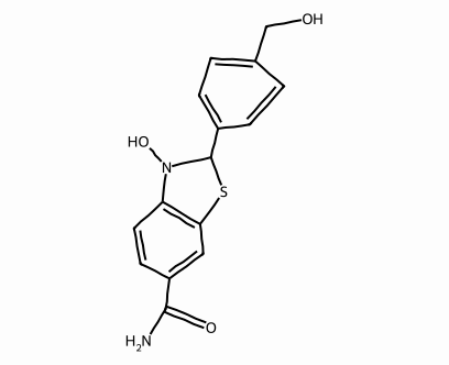 NC(=O)c1ccc2c(c1)SC(c1ccc(CO)cc1)N2O